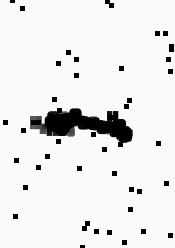 CC(C)(C)OC(=O)N1CCN(C(=O)CCOCCOCCOCCNOC(=O)c2ccccc2)CC1CO